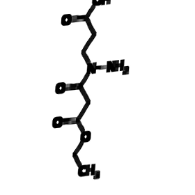 CCOC(=O)CC(=O)N(N)CCC(=O)O